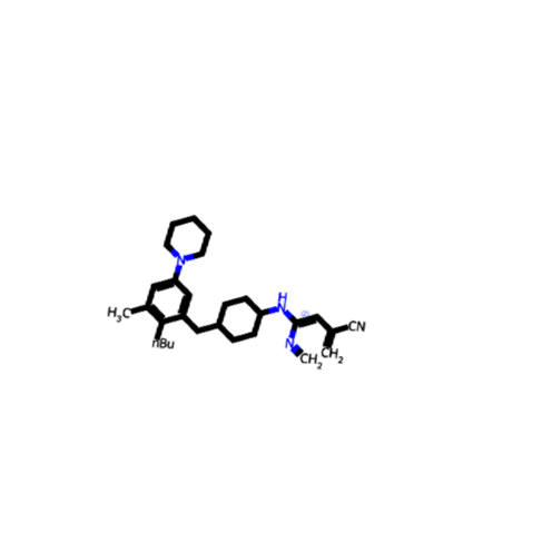 C=N/C(=C\C(=C)C#N)NC1CCC(Cc2cc(N3CCCCC3)cc(C)c2CCCC)CC1